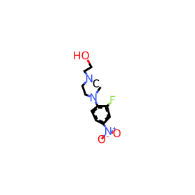 O=[N+]([O-])c1ccc(N2CCN(CCO)CC2)c(F)c1